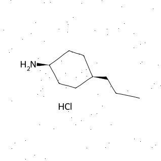 CCC[C@H]1CC[C@@H](N)CC1.Cl